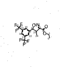 CCOC(=O)C1=NOC(c2cc(C(F)(F)F)cc(C(F)(F)F)c2)C1C